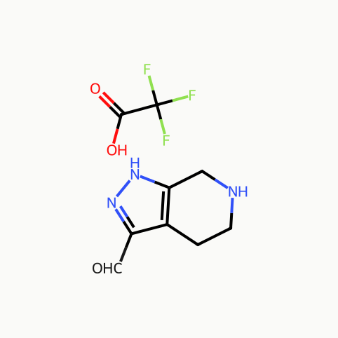 O=C(O)C(F)(F)F.O=Cc1n[nH]c2c1CCNC2